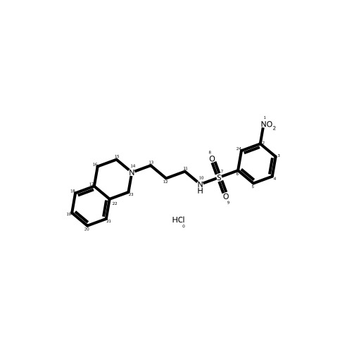 Cl.O=[N+]([O-])c1cccc(S(=O)(=O)NCCCN2CCc3ccccc3C2)c1